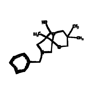 CC1(C)COC2(CN(Cc3ccccc3)CC2(C)CO)OC1